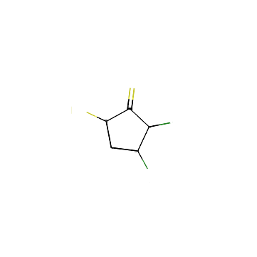 S=C1C(S)CC(Cl)C1Cl